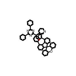 c1ccc(-c2nc(-c3ccccc3)nc(-c3ccc(-c4cccc5c4-c4c(-c6cccc(-c7cccnc7)c6)cccc4C54c5ccccc5Oc5ccccc54)cc3)n2)cc1